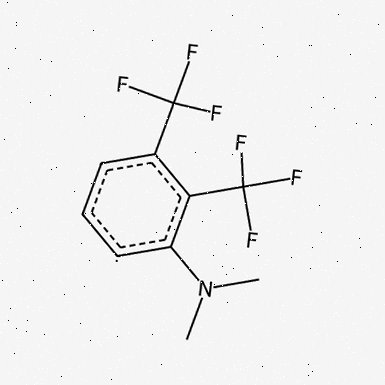 CN(C)c1[c]ccc(C(F)(F)F)c1C(F)(F)F